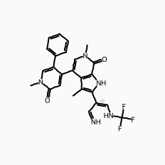 Cc1c(/C(C=N)=C/NC(F)(F)F)[nH]c2c(=O)n(C)cc(-c3cc(=O)n(C)cc3-c3ccccc3)c12